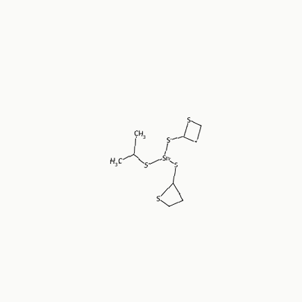 CC(C)[S][Sn]([S]C1CCS1)[S]C1CCS1